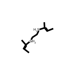 CC=C(C)[SiH2]CC[SiH2]C(C)=CC